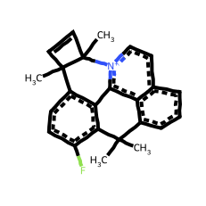 CC1(C)c2c(F)ccc3c2-c2c4c1cccc4cc[n+]2C1(C)C=CC31C